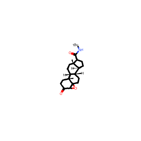 CC(C)(C)NC(=O)C1CC[C@H]2[C@@H]3CCC45OC4C(=O)CC[C@]5(C)[C@@H]3CC[C@]12C